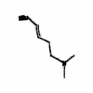 CN(C)CC/C=C/C(C)(C)C